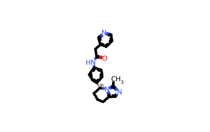 Cc1ncc2n1[C@@H](c1ccc(NC(=O)Cc3cccnc3)cc1)CCC2